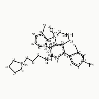 Cc1cc(F)ccc1-c1nc(NCCCN2CCCC2)nc2c1CNC[N+]2([O-])c1c(C)cccc1C